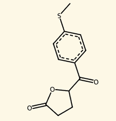 CSc1ccc(C(=O)C2CCC(=O)O2)cc1